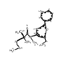 CCc1nc(-c2cccnc2)sc1N(C)C(=O)C(C)(C)CSC